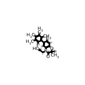 C#CCN1C(=O)C(C)(I)Oc2cc(F)c(-c3c(C)c(C)c(C)c(C)c3F)cc21